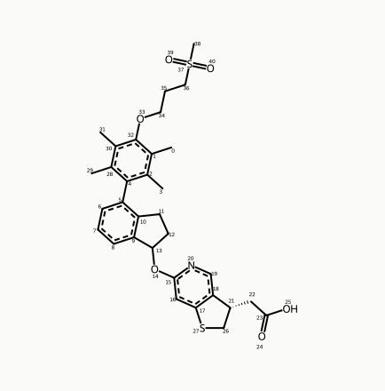 Cc1c(C)c(-c2cccc3c2CCC3Oc2cc3c(cn2)[C@H](CC(=O)O)CS3)c(C)c(C)c1OCCCS(C)(=O)=O